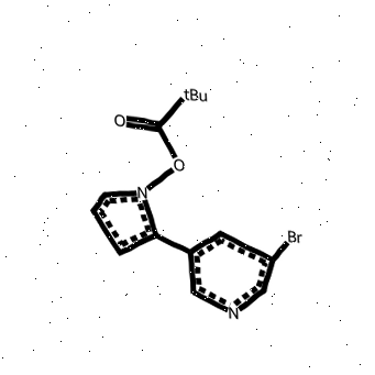 CC(C)(C)C(=O)On1cccc1-c1cncc(Br)c1